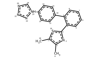 Cc1nc(-c2ccccc2-c2ccccc2)sc1C.c1nnn[nH]1